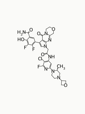 C[C@H]1CN(C2COC2)CCN1c1cc(NC(=O)Cn2cc(-c3cc(C(N)=O)c(O)c(F)c3F)c3c(=O)n4c(nc32)COCC4)c(Cl)c(F)n1